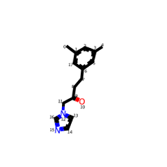 Cc1cc(C)cc(CCC(=O)Cn2ccnc2)c1